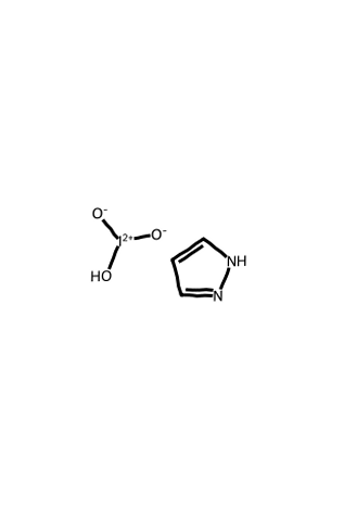 [O-][I+2]([O-])O.c1cn[nH]c1